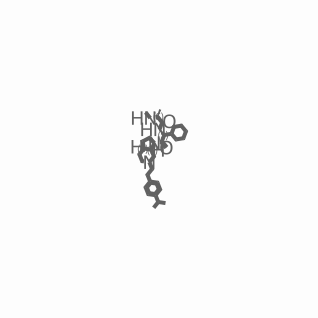 CN[C@@H](C)C(=O)N[C@H](C(=O)N1CC[C@H]2CCN(CCc3ccc(C(C)C)cc3)C[C@H]21)C1CCCCC1